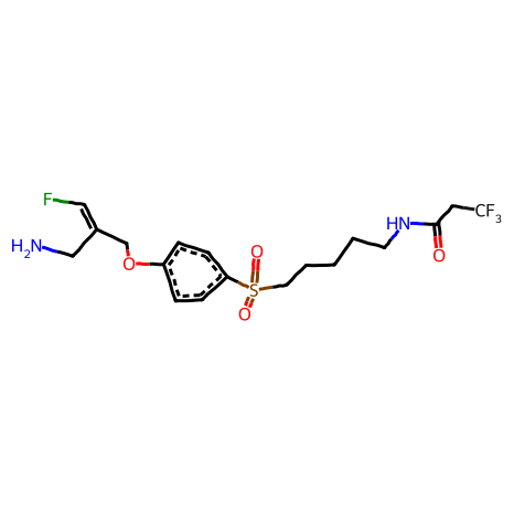 NC/C(=C\F)COc1ccc(S(=O)(=O)CCCCCNC(=O)CC(F)(F)F)cc1